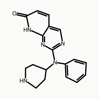 O=c1ccc2cnc(N(c3ccccc3)C3CCNCC3)nc2[nH]1